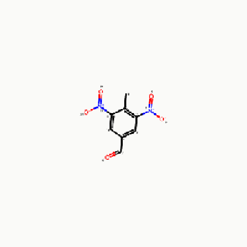 Cc1c([N+](=O)[O-])cc(C=O)cc1[N+](=O)[O-]